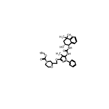 Cc1c(OCC2CN(C(=O)OC(C)(C)C)CCO2)nn(-c2ccccc2)c1NC(=O)N[C@@H]1c2ccccc2C(C)(C)C[C@H]1O